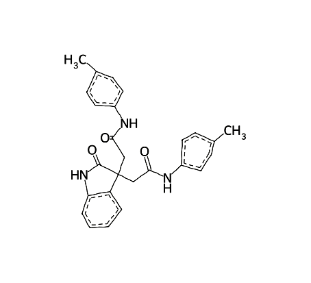 Cc1ccc(NC(=O)CC2(CC(=O)Nc3ccc(C)cc3)C(=O)Nc3ccccc32)cc1